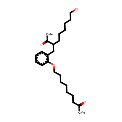 COC(=O)CCCCCCCOc1ccccc1CC(CCCCCCO)C(=O)OC